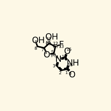 O=c1ccn([C@@H]2OC(CO)[C@H](O)[C@H]2F)c(=O)[nH]1